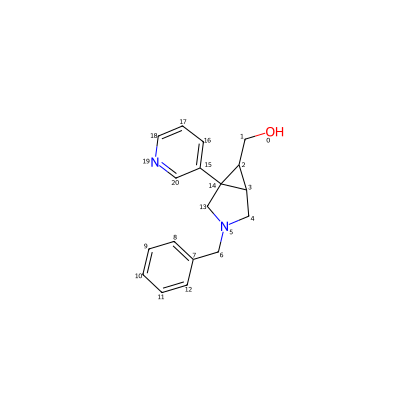 OCC1C2CN(Cc3ccccc3)CC12c1cccnc1